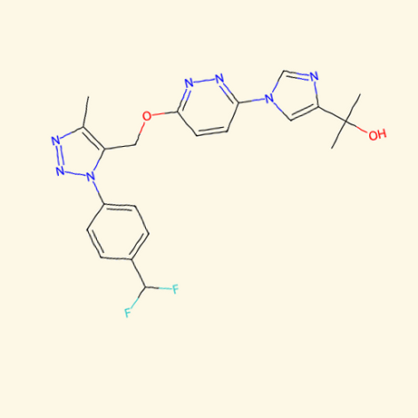 Cc1nnn(-c2ccc(C(F)F)cc2)c1COc1ccc(-n2cnc(C(C)(C)O)c2)nn1